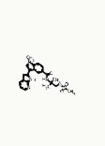 Cn1cc(-c2cc3cccnc3[nH]2)c2cc(C(=O)NC(C)(C)COS(C)(=O)=O)ccc21